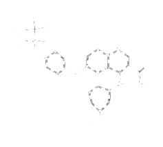 COc1cccc(Nc2c(C(N)=O)cnc3ccc(Sc4ccc(O[Si](C)(C)C(C)(C)C)cc4)cc23)c1